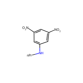 CCCNc1cc([N+](=O)[O-])cc([N+](=O)[O-])c1